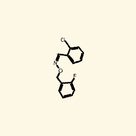 Fc1ccccc1CO/N=[C]\c1ccccc1Cl